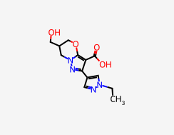 CCn1cc(-c2nn3c(c2C(=O)O)OCC(CO)C3)cn1